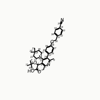 Cc1nc(C)c(C(OC(C)(C)C)C(=O)O)c(N2CCC(C)(C)CC2)c1-c1ccc(OCc2ccc(C#N)cc2)cc1